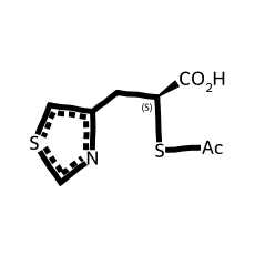 CC(=O)S[C@@H](Cc1cscn1)C(=O)O